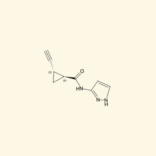 C#C[C@H]1C[C@@H]1C(=O)Nc1cc[nH]n1